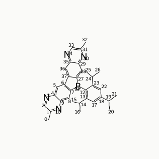 Cc1cnc2cc3c(cc2n1)B(c1c(C(C)C)cc(C(C)C)cc1C(C)C)c1cc2nc(C)cnc2cc1-3